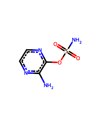 Nc1nccnc1OS(N)(=O)=O